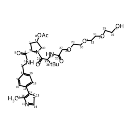 CC(=O)O[C@@H]1C[C@@H](C(=O)NCc2ccc(-c3scnc3C)cc2)N(C(=O)[C@@H](NC(=O)COCCOCCOCCO)C(C)(C)C)C1